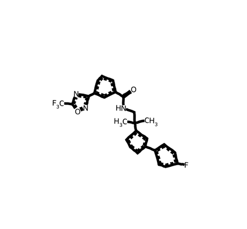 CC(C)(CNC(=O)c1cccc(-c2noc(C(F)(F)F)n2)c1)c1cccc(-c2ccc(F)cc2)c1